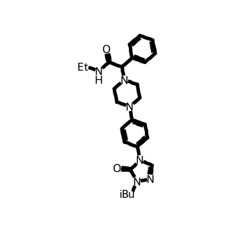 CCNC(=O)C(c1ccccc1)N1CCN(c2ccc(-n3cnn(C(C)CC)c3=O)cc2)CC1